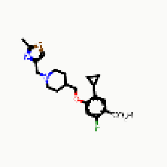 Cc1nc(CN2CCC(COc3cc(F)c(C(=O)O)cc3C3CC3)CC2)cs1